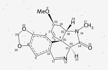 CO[C@@H]1C=C[C@@]23c4cc5c(cc4C=N[C@@H]2C(=O)N(C)[C@H]3C1)OCO5